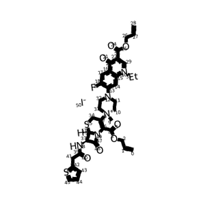 C=CCOC(=O)C1=C([N+]2(C)CCN(c3cc4c(cc3F)c(=O)c(C(=O)OCC=C)cn4CC)CC2)CS[C@@H]2[C@H](NC(=O)Cc3cccs3)C(=O)N12.[I-]